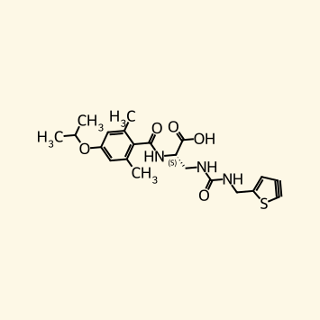 Cc1cc(OC(C)C)cc(C)c1C(=O)N[C@@H](CNC(=O)NCc1cc#cs1)C(=O)O